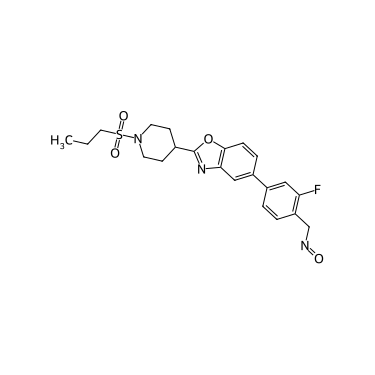 CCCS(=O)(=O)N1CCC(c2nc3cc(-c4ccc(CN=O)c(F)c4)ccc3o2)CC1